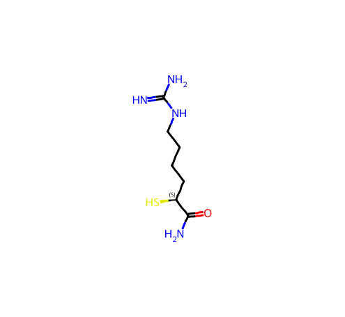 N=C(N)NCCCC[C@H](S)C(N)=O